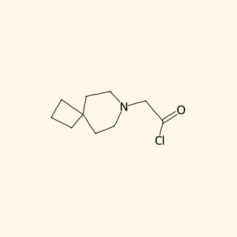 O=C(Cl)CN1CCC2(CCC2)CC1